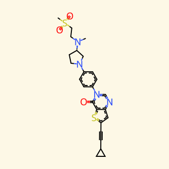 CN(CCS(C)(=O)=O)[C@@H]1CCN(c2ccc(-n3cnc4cc(C#CC5CC5)sc4c3=O)cc2)C1